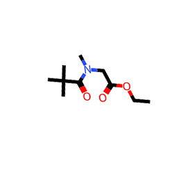 CCOC(=O)CN(C)C(=O)C(C)(C)C